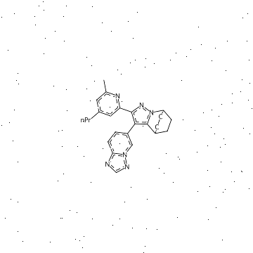 CCCc1cc(C)nc(-c2nn3c(c2-c2ccc4ncnn4c2)C2CCC3CC2)c1